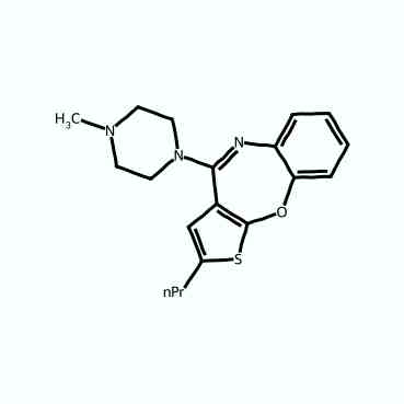 CCCc1cc2c(s1)Oc1ccccc1N=C2N1CCN(C)CC1